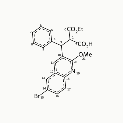 CCOC(=O)C(C(=O)O)C(c1ccccc1)c1cc2cc(Br)ccc2nc1OC